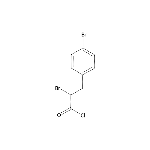 O=C(Cl)C(Br)Cc1ccc(Br)cc1